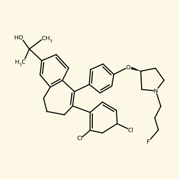 CC(C)(O)c1ccc2c(c1)CCCC(C1=C(Cl)CC(Cl)C=C1)=C2c1ccc(O[C@H]2CCN(CCCF)C2)cc1